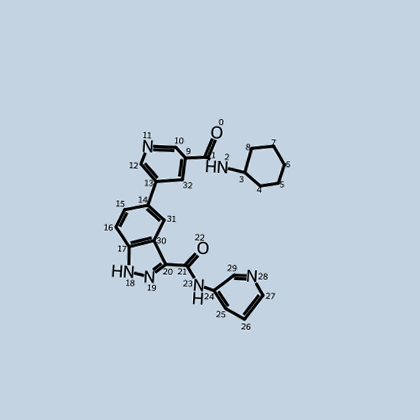 O=C(NC1CCCCC1)c1cncc(-c2ccc3[nH]nc(C(=O)Nc4cccnc4)c3c2)c1